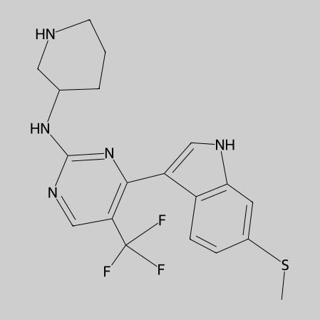 CSc1ccc2c(-c3nc(NC4CCCNC4)ncc3C(F)(F)F)c[nH]c2c1